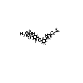 CS(=O)(=O)NC(=O)c1ccc(COc2cccc(-c3ncc(OCC4CC4)cn3)c2)c(F)c1